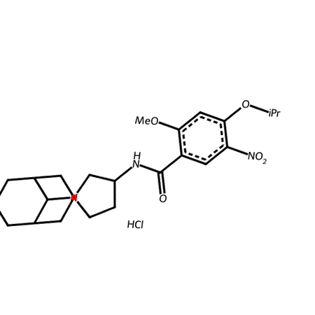 COc1cc(OC(C)C)c([N+](=O)[O-])cc1C(=O)NC1CCN(C2C3CCCC2CCC3)C1.Cl